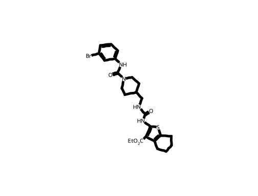 CCOC(=O)c1c(NC(=O)NCC2CCN(C(=O)Nc3cccc(Br)c3)CC2)sc2c1CCCC2